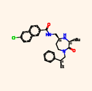 CCCC[C@@H]1N[C@H](CNC(=O)c2ccc3cc(Cl)ccc3c2)CCN(C[C@@H](CC)c2ccccc2)C1=O